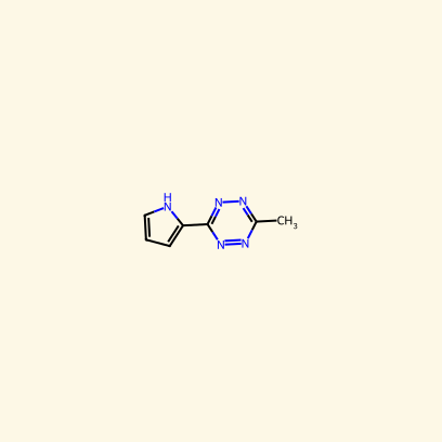 Cc1nnc(-c2ccc[nH]2)nn1